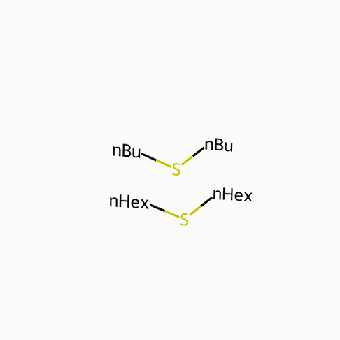 CCCCCCSCCCCCC.CCCCSCCCC